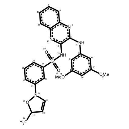 COc1cc(Nc2nc3ccccc3nc2NS(=O)(=O)c2cccc(N3C=CC(C)O3)c2)cc(OC)c1